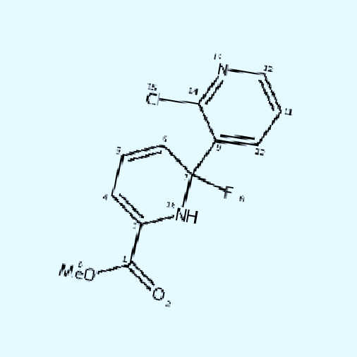 COC(=O)C1=CC=CC(F)(c2cccnc2Cl)N1